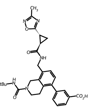 Cc1noc([C@@H]2C[C@H]2C(=O)NCc2ccc(-c3cccc(C(=O)O)c3)c3c2CN(C(=O)NC(C)(C)C)CC3)n1